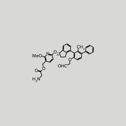 COc1nc(O[C@H]2CCc3c(-c4c(OCC=O)ccc(-c5ccccc5)c4C)cccc32)ccc1COC(=O)CN